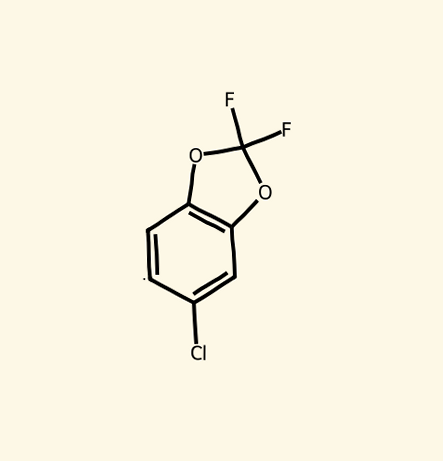 FC1(F)Oc2c[c]c(Cl)cc2O1